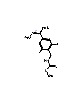 CO/N=C(/N)c1cc(F)c(CNC(=O)OC(C)(C)C)c(F)c1